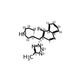 Cc1nnn([C@@H](c2ccc3ccccc3c2F)[C@H]2CCCNC2)n1